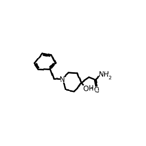 NC(=O)CC1(O)CCN(Cc2ccccc2)CC1